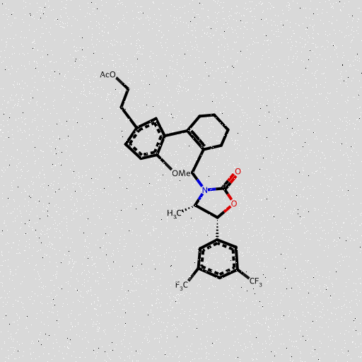 COc1ccc(CCOC(C)=O)cc1C1=C(CN2C(=O)O[C@H](c3cc(C(F)(F)F)cc(C(F)(F)F)c3)[C@@H]2C)CCCC1